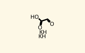 O=CC(=O)O.[KH].[KH]